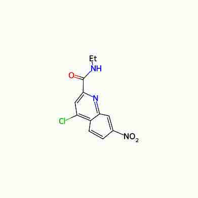 CCNC(=O)c1cc(Cl)c2ccc([N+](=O)[O-])cc2n1